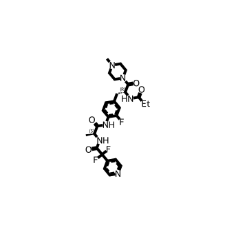 CCC(=O)N[C@H](Cc1ccc(NC(=O)[C@H](C)NC(=O)C(F)(F)c2ccncc2)c(F)c1)C(=O)N1CCN(C)CC1